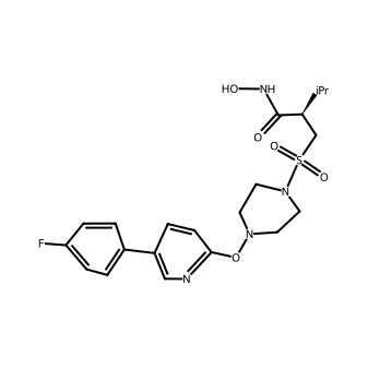 CC(C)[C@@H](CS(=O)(=O)N1CCN(Oc2ccc(-c3ccc(F)cc3)cn2)CC1)C(=O)NO